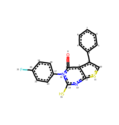 O=c1c2c(-c3ccccc3)csc2nc(S)n1-c1ccc(F)cc1